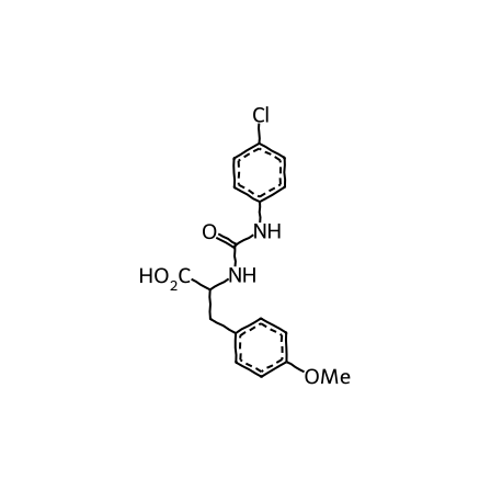 COc1ccc(CC(NC(=O)Nc2ccc(Cl)cc2)C(=O)O)cc1